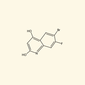 Oc1cc(O)c2cc(Br)c(F)cc2n1